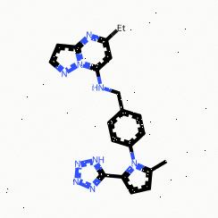 CCc1cc(NCc2ccc(-n3c(C)ccc3-c3nnn[nH]3)cc2)n2nccc2n1